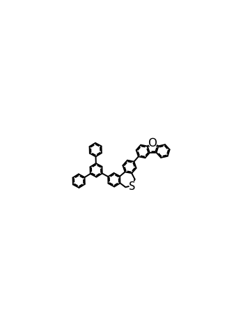 c1ccc(-c2cc(-c3ccccc3)cc(-c3ccc4c(c3)-c3ccc(-c5ccc6oc7ccccc7c6c5)cc3CSC4)c2)cc1